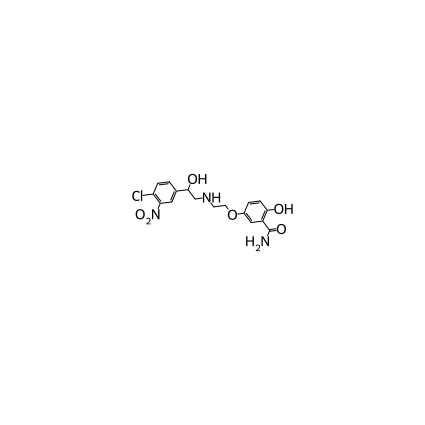 NC(=O)c1cc(OCCNCC(O)c2ccc(Cl)c([N+](=O)[O-])c2)ccc1O